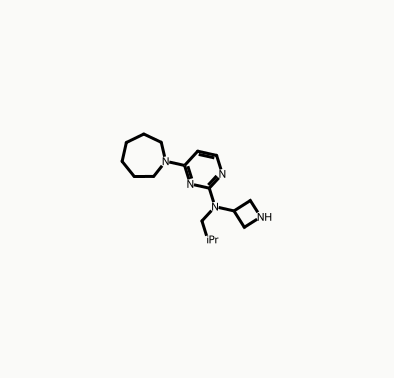 CC(C)CN(c1nccc(N2CCCCCC2)n1)C1CNC1